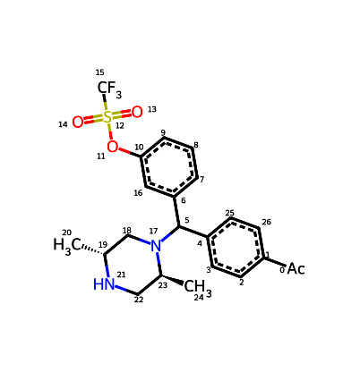 CC(=O)c1ccc(C(c2cccc(OS(=O)(=O)C(F)(F)F)c2)N2C[C@@H](C)NC[C@@H]2C)cc1